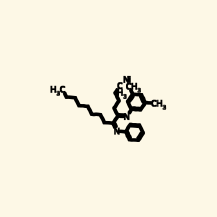 CCCCCCCCC(=Nc1ccccc1)C(CCCC)=Nc1cc(C)cc(C)c1.[Ni]